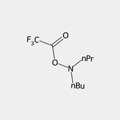 CCCCN(CCC)OC(=O)C(F)(F)F